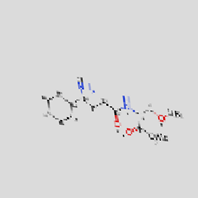 COC(=O)[C@@H](COC(C)(C)C)NC(=O)CC[C@H](N)C1CCCCC1